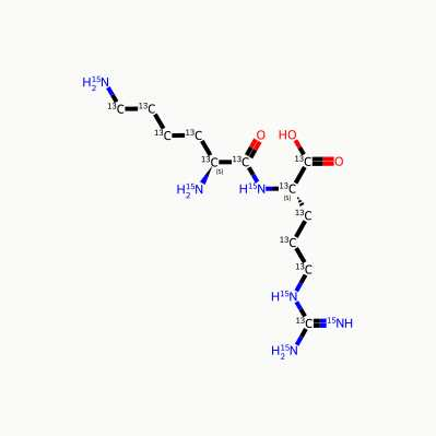 [15NH]=[13C]([15NH2])[15NH][13CH2][13CH2][13CH2][13C@H]([15NH][13C](=O)[13C@@H]([15NH2])[13CH2][13CH2][13CH2][13CH2][15NH2])[13C](=O)O